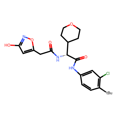 CC(C)(C)c1ccc(NC(=O)[C@H](NC(=O)Cc2cc(O)no2)C2CCOCC2)cc1Cl